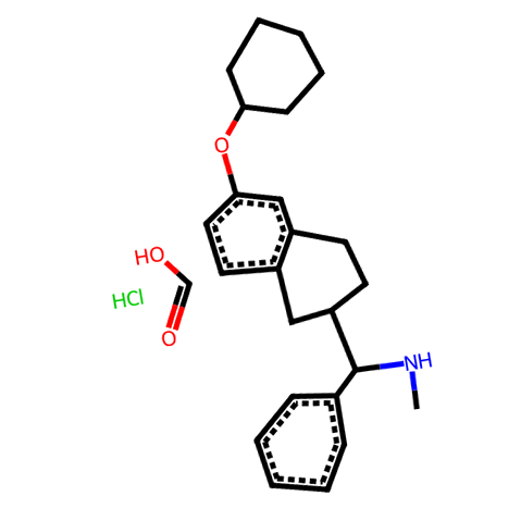 CNC(c1ccccc1)C1CCc2cc(OC3CCCCC3)ccc2C1.Cl.O=CO